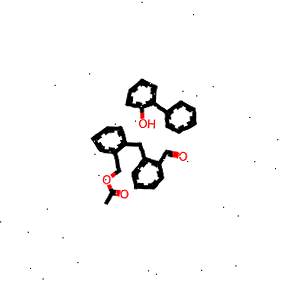 CC(=O)OCc1ccccc1Cc1ccccc1C=O.Oc1ccccc1-c1ccccc1